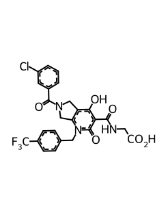 O=C(O)CNC(=O)c1c(O)c2c(n(Cc3ccc(C(F)(F)F)cc3)c1=O)CN(C(=O)c1cccc(Cl)c1)C2